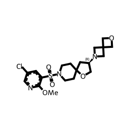 COc1ncc(Cl)cc1S(=O)(=O)N1CCC2(CC1)C[C@@H](N1CC3(COC3)C1)CO2